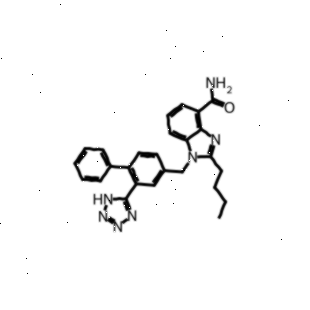 CCCCc1nc2c(C(N)=O)cccc2n1Cc1ccc(-c2ccccc2)c(-c2nnn[nH]2)c1